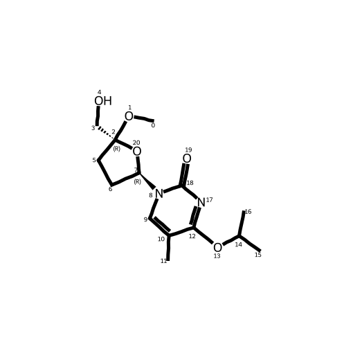 CO[C@]1(CO)CC[C@H](n2cc(C)c(OC(C)C)nc2=O)O1